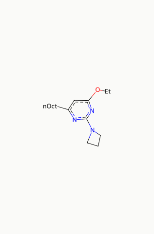 CCCCCCCCc1cc(OCC)nc(N2CCC2)n1